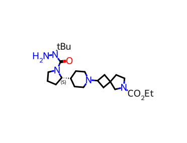 CCOC(=O)N1CCC2(CC(N3CCC([C@@H]4CCCN4C(=O)N(N)C(C)(C)C)CC3)C2)C1